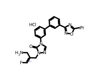 CC(C)c1nc(-c2cccc(-c3cccc(-n4cnn(C/C(=C/F)CN)c4=O)c3)c2)no1.Cl